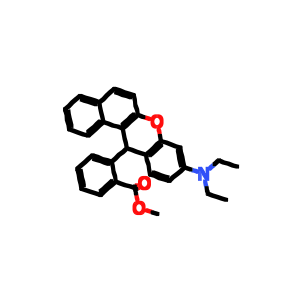 CCN(CC)c1ccc2c(c1)Oc1ccc3ccccc3c1C2c1ccccc1C(=O)OC